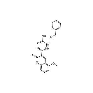 COc1cccc2oc(=O)c(C(=O)N[C@@H](COCc3ccccc3)C(=O)O)cc12